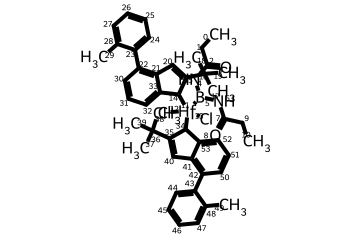 CCC(=O)N[B](NC(=O)CC)[Hf]([Cl])([Cl])([CH]1C(C(C)(C)C)=Cc2c(-c3ccccc3C)cccc21)[CH]1C(C(C)(C)C)=Cc2c(-c3ccccc3C)cccc21